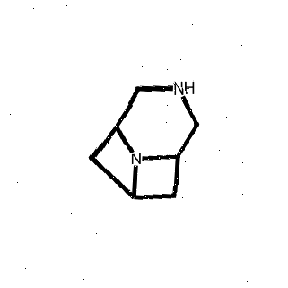 C1NCC2CC3CC1N23